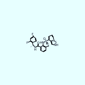 C[C@@H](NC(=O)c1cccc(I)c1NS(=O)(=O)C1=CC=CN2SNC=C12)c1ccc(F)cc1F